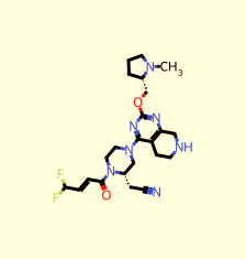 CN1CCC[C@H]1COc1nc2c(c(N3CCN(C(=O)/C=C/C(F)F)[C@@H](CC#N)C3)n1)CCNC2